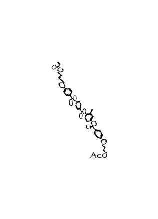 C=CC(=O)OCCCCOc1ccc(C(=O)Oc2ccc(C(=O)Oc3ccc(OC(=O)c4ccc(OCCCCOC(C)=O)cc4)cc3C)cc2)cc1